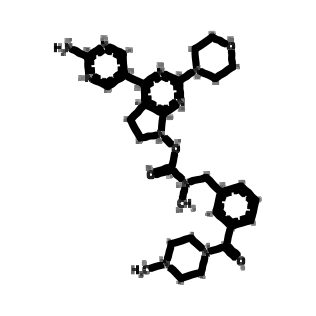 CN1CCN(C(=O)c2cccc(CN(C)C(=O)ON3CCc4c(-c5cnc(N)nc5)nc(N5CCOCC5)nc43)c2)CC1